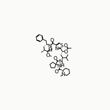 COC(=O)[C@@H](C)C[C@H](Cc1ccccc1)NC(=O)c1csc([C@@H](CC(C(C)C)N(C)C(=O)C2(NC(=O)[C@H]3CCCCN3C)CCCC2)OC(C)=O)n1